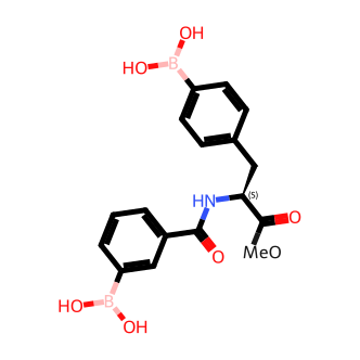 COC(=O)[C@H](Cc1ccc(B(O)O)cc1)NC(=O)c1cccc(B(O)O)c1